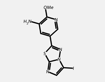 COc1ncc(-c2nn3c(I)cnc3s2)cc1N